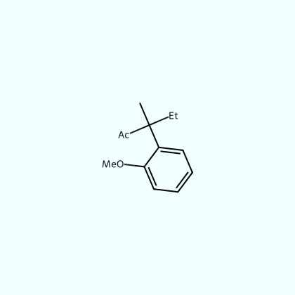 CCC(C)(C(C)=O)c1ccccc1OC